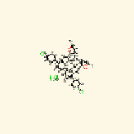 Cc1ccc(C2=Cc3c(cc(C)c(C)c3-c3ccc(Cl)cc3)[CH]2[Zr]([CH]2C(c3ccc(C)o3)=Cc3c2cc(C)c(C)c3-c2ccc(Cl)cc2)=[Si](C)C)o1.Cl.Cl